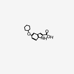 O=C(O)c1cc2cc(OC3CCCCC3)ccc2[nH]1